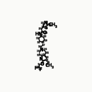 CCc1cc2c(nc1OCC(F)F)CCN(CC[C@H]1CC[C@H](NC(=O)Cc3cnc(C)s3)CC1)CC2